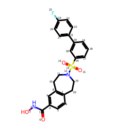 O=C(NO)c1ccc2c(c1)CCN(S(=O)(=O)c1cccc(-c3ccc(F)cc3)c1)CC2